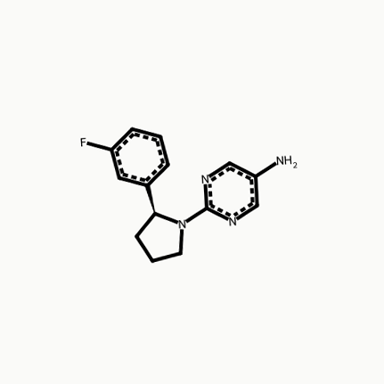 Nc1cnc(N2CCC[C@H]2c2cccc(F)c2)nc1